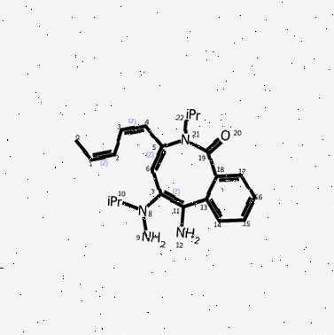 C\C=C/C=C\C1=C\C(N(N)C(C)C)=C(\N)c2ccccc2C(=O)N1C(C)C